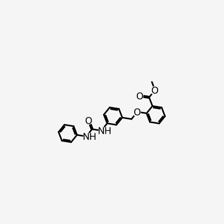 COC(=O)c1ccccc1OCc1cccc(NC(=O)Nc2ccccc2)c1